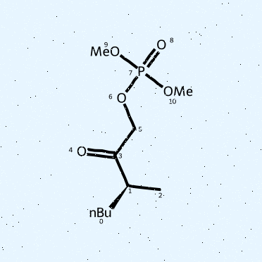 CCCC[C@H](C)C(=O)COP(=O)(OC)OC